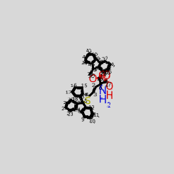 NC(CCCSC(c1ccccc1)(c1ccccc1)c1ccccc1)(C(=O)O)C(=O)OCC1c2ccccc2-c2ccccc21